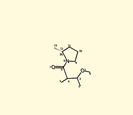 COC(C)C(C)C(=O)N1CCC[C@H]1C